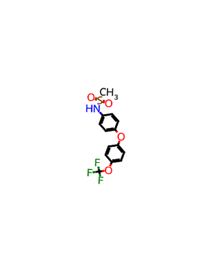 CS(=O)(=O)Nc1ccc(Oc2ccc(OC(F)(F)F)cc2)cc1